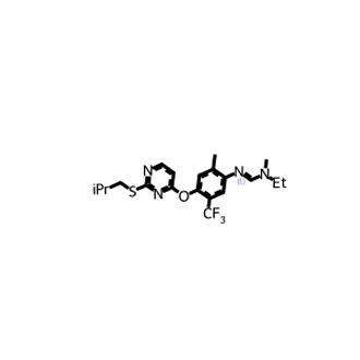 CCN(C)/C=N/c1cc(C(F)(F)F)c(Oc2ccnc(SCC(C)C)n2)cc1C